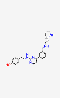 Oc1ccc(CCNc2nccc(-c3cccc(CNCC[C@H]4CCCN4)c3)n2)cc1